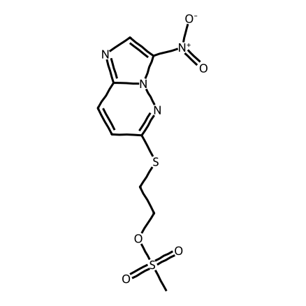 CS(=O)(=O)OCCSc1ccc2ncc([N+](=O)[O-])n2n1